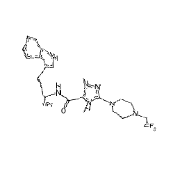 CCCC(Cc1c[nH]c2ccccc12)NC(=O)c1nnc(N2CCN(CC(F)(F)F)CC2)[nH]1